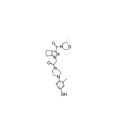 Cc1cc(O)ccc1N1CCN(C(=O)Cn2nc(C(=O)N3C[C@@H](C)O[C@@H](C)C3)c3c2CCC3)CC1